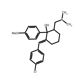 COc1ccc(C2(O)C(=Cc3ccc(Cl)cc3)CCCC2CN(C)C)cc1